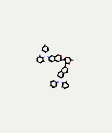 Cc1ccc(N(c2ccc3cc4c(cc3c2)oc2cc(C#N)c3oc5cc6cc(N(c7ccc(C)cc7)c7c(C)cccc7C)ccc6cc5c3c24)c2c(C)cccc2C)cc1